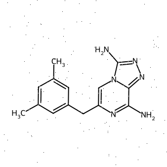 Cc1cc(C)cc(Cc2cn3c(N)nnc3c(N)n2)c1